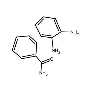 NC(=O)c1ccccc1.Nc1ccccc1N